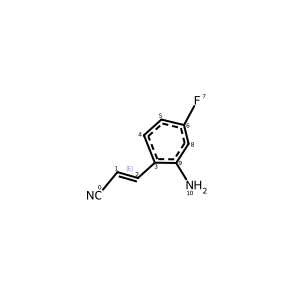 N#C/C=C/c1ccc(F)cc1N